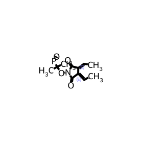 C/C=C1/C(=O)N(OC(C)(C)P=O)C(=O)/C1=C/C